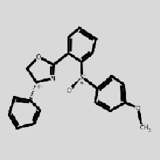 COc1ccc([S@@+]([O-])c2ccccc2C2=N[C@H](c3ccccc3)CO2)cc1